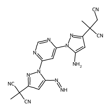 CC(C#N)(C#N)c1cc(N=N)n(-c2cc(-n3nc(C(C)(C#N)CC#N)cc3N)ncn2)n1